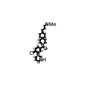 CNCCCC1CCC2(CC1)CCN(C(=O)c1ccc(Cl)c(N3C=CCNC3)c1)CC2